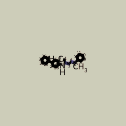 C=C/C(=C\C=C(/C)c1ccccc1)Nc1ccc(-c2ccccc2)cc1